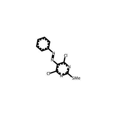 CSc1nc(Cl)c(/N=N/c2ccccc2)c(Cl)n1